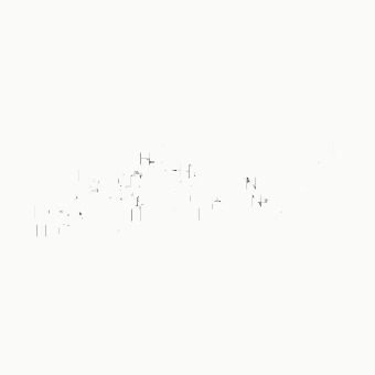 CC12CC[C@H]3[C@@H](CC[C@@H]4C[C@](C)(O)CC[C@@]43C)[C@@H]1CC[C@@H]2C(=O)Cn1ncc2cc(F)ccc21